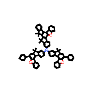 CC1(C)c2cc(N(c3ccc4c(c3)C(C)(C)c3cc(-c5ccccc5)c5oc6ccccc6c5c3-4)c3ccc4c(c3)C(C)(C)c3c5c(c6c(oc7ccccc76)c3-4)-c3ccccc3C5(C)C)ccc2-c2c1cc(-c1ccccc1)c1oc3ccccc3c21